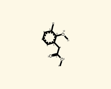 COC(=O)Cc1cccc(C)c1OC